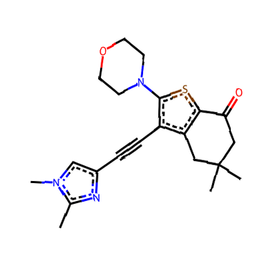 Cc1nc(C#Cc2c(N3CCOCC3)sc3c2CC(C)(C)CC3=O)cn1C